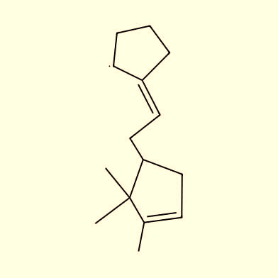 CC1=CCC(CC=C2[CH]CCC2)C1(C)C